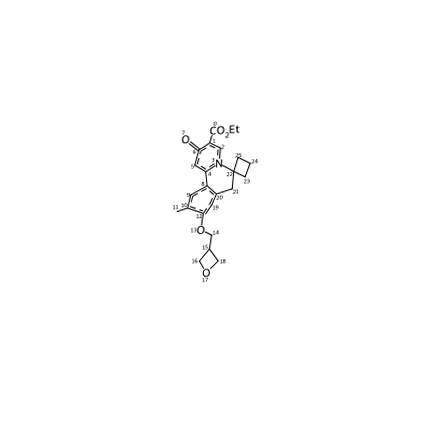 CCOC(=O)c1cn2c(cc1=O)-c1cc(C)c(OCC3COC3)cc1CC21CCC1